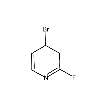 FC1=NC=CC(Br)C1